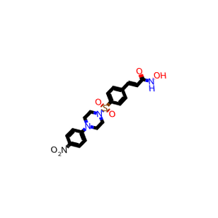 O=C(C=Cc1ccc(S(=O)(=O)N2CCN(c3ccc([N+](=O)[O-])cc3)CC2)cc1)NO